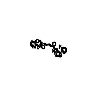 CN1C(=O)[C@@H](CCCCC(=O)c2cc3n(n2)CCO[C@H]3c2ccccc2F)COc2cccnc21